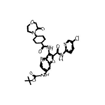 CC(C)(C)OC(=O)Nc1cnc2c(NC(=O)C3CCC(N4CCOCC4=O)CC3)c(C(=O)Nc3ccc(Cl)cn3)oc2c1